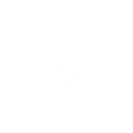 Cc1ccnc(NC(=O)c2ccc(-c3nn([C@@H]4CCCN(C(=O)C=CCN(C)C5CC5)C4)c4ncnc(N)c34)cc2)c1